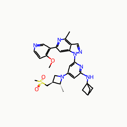 COc1ccncc1-c1cc2c(cnn2-c2cc(N3C[C@H](CS(C)(=O)=O)[C@H]3C)cc(NC34CC(C3)C4)n2)c(C)n1